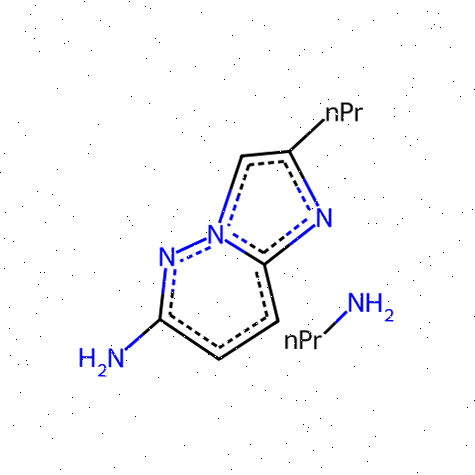 CCCN.CCCc1cn2nc(N)ccc2n1